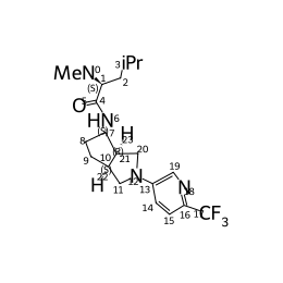 CN[C@@H](CC(C)C)C(=O)N[C@H]1CC[C@@H]2CN(c3ccc(C(F)(F)F)nc3)C[C@@H]21